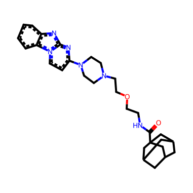 O=C(NCCOCCN1CCN(c2ccn3c(n2)nc2ccccc23)CC1)C12CC3CC(CC(C3)C1)C2